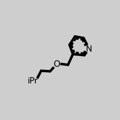 CC(C)CCOCc1cccnc1